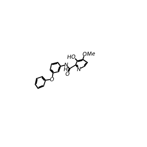 COc1ccnc(C(=O)Nc2cccc(Oc3ccccc3)c2)c1O